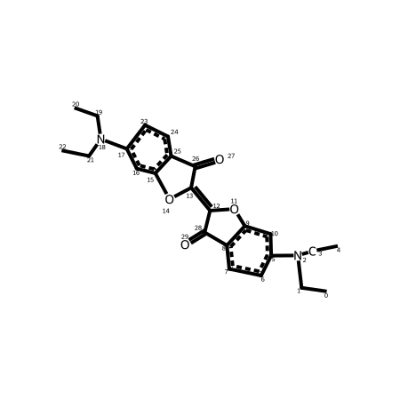 CCN(CC)c1ccc2c(c1)O/C(=C1/Oc3cc(N(CC)CC)ccc3C1=O)C2=O